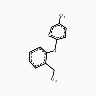 FC(F)(F)[CH]c1ccccc1Oc1ccc(C(F)(F)F)cn1